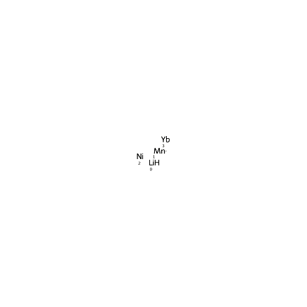 [LiH].[Mn].[Ni].[Yb]